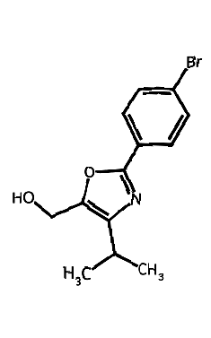 CC(C)c1nc(-c2ccc(Br)cc2)oc1CO